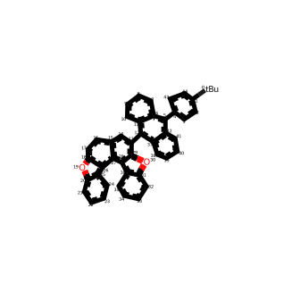 CC(C)(C)c1ccc(-c2c3ccccc3c(-c3cc4ccc5oc6ccccc6c5c4c4c3oc3ccccc34)c3ccccc23)cc1